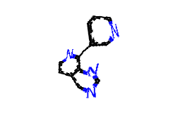 c1cncc(-c2nccc3cncnc23)c1